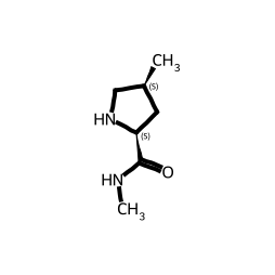 CNC(=O)[C@@H]1C[C@H](C)CN1